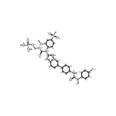 COc1cc(S(C)(=O)=O)ccc1N(C(=O)OCOP(=O)(O)O)c1nc2ccc(-c3ccc(NC(=O)[C@H](C)c4ccc(F)cc4)cc3)cn2n1